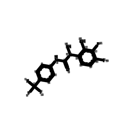 O=C(Nc1ccc(C(F)(F)F)cc1)N(S)c1ccc(F)c(F)c1O